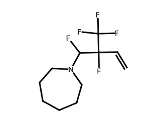 C=CC(F)(C(F)N1CCCCCC1)C(F)(F)F